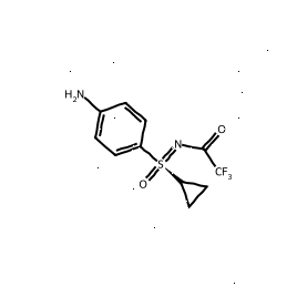 Nc1ccc([S@@](=O)(=NC(=O)C(F)(F)F)C2CC2)cc1